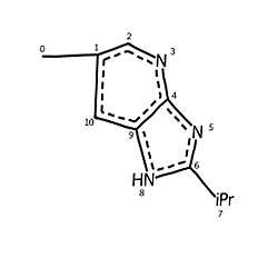 Cc1cnc2nc(C(C)C)[nH]c2c1